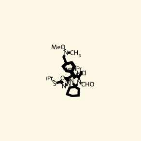 CON(C)Cc1ccc(C(=O)NC2(N(C=O)C(CC(C)C)C(=O)c3nnc(SC(C)C)o3)CCCCC2)cc1.Cl